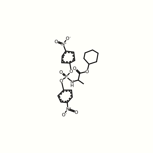 CC(NP(=O)(Oc1ccc([N+](=O)[O-])cc1)Oc1ccc([N+](=O)[O-])cc1)C(=O)OC1CCCCC1